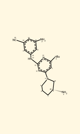 CCCCc1cc(N2CCC[C@@H](N)C2)nc(Nc2cc(N)cc(C#N)c2)n1